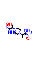 CC(/C(N)=N\O)N1CCN(C(C)/C(N)=N\O)CC1